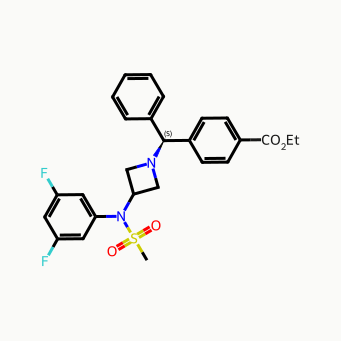 CCOC(=O)c1ccc([C@H](c2ccccc2)N2CC(N(c3cc(F)cc(F)c3)S(C)(=O)=O)C2)cc1